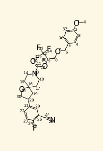 COc1ccc(COC[C@@H](OC(=O)N2CCC3(CC2)CC(c2ccc(F)c(C#N)c2)CO3)C(F)(F)F)cc1